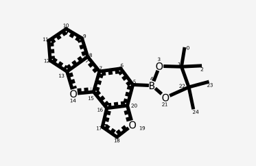 CC1(C)OB(c2cc3c4ccccc4oc3c3ccoc23)OC1(C)C